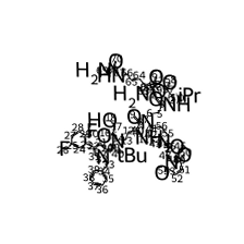 CC(C)[C@H](NC(=O)CCN(C(=O)[C@@H](N)CCN(C(=O)CO)[C@@H](c1cc(-c2cc(F)ccc2F)cn1Cc1ccccc1)C(C)(C)C)C1CCN(C(=O)CN2C(=O)C=CC2=O)CC1)C(=O)OC(=O)[C@@H](N)CCCNC(N)=O